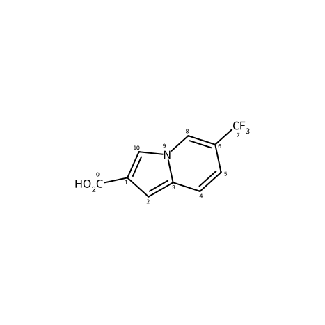 O=C(O)c1cc2ccc(C(F)(F)F)cn2c1